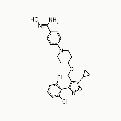 N/C(=N\O)c1ccc(N2CCC(OCc3c(-c4c(Cl)cccc4Cl)noc3C3CC3)CC2)cc1